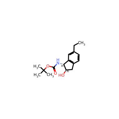 CCc1ccc2c(c1)[C@@H](NC(=O)OC(C)(C)C)[C@H](O)C2